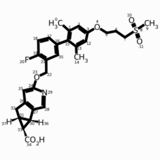 Cc1cc(OCCCS(C)(=O)=O)cc(C)c1-c1ccc(F)c(COc2cc3c(cn2)[C@H]2[C@@H](C3)[C@@H]2C(=O)O)c1